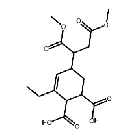 CCC1=CC(C(CC(=O)OC)C(=O)OC)CC(C(=O)O)C1C(=O)O